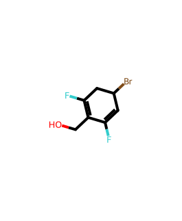 OCC1=C(F)CC(Br)C=C1F